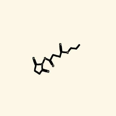 CCCOC(=O)CCC(=O)ON1C(=O)CCC1=O